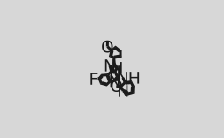 COc1cccc(-c2nc3c4cc(F)ccc4nc(Nc4ccccnc4=O)n3n2)c1